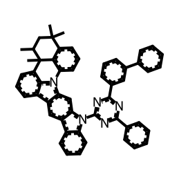 CC1CC(C)(C)c2cccc3c2C1(C)c1cccc2c4cc5c6ccccc6n(-c6nc(-c7ccccc7)nc(-c7cccc(-c8ccccc8)c7)n6)c5cc4n-3c12